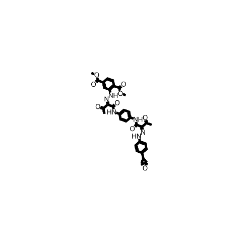 COC(=O)c1ccc(C(=O)OC)c(N/N=C(/C(C)=O)C(=O)Nc2ccc(NC(=O)/C(=N\Nc3ccc(C4C5OC54)cc3)C(C)=O)cc2)c1